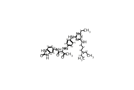 CCc1nc(NCCCN(CC)CC)nc(Nc2ccc(N=NC(C(C)=O)C(=O)Nc3ccc4[nH]c(=O)[nH]c4c3)cc2)n1